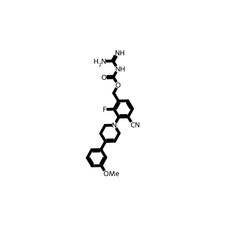 COc1cccc(C2=CCN(c3c(C#N)ccc(COC(=O)NC(=N)N)c3F)CC2)c1